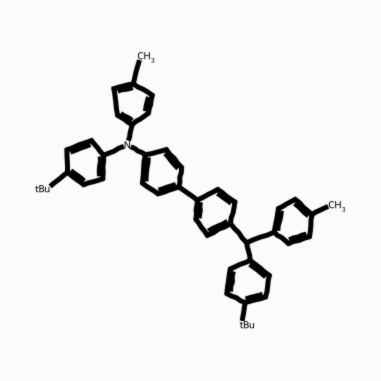 Cc1ccc(C(c2ccc(-c3ccc(N(c4ccc(C)cc4)c4ccc(C(C)(C)C)cc4)cc3)cc2)c2ccc(C(C)(C)C)cc2)cc1